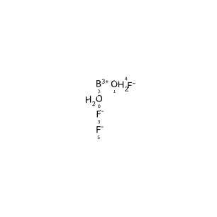 O.O.[B+3].[F-].[F-].[F-]